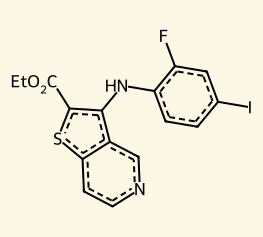 CCOC(=O)c1sc2ccncc2c1Nc1ccc(I)cc1F